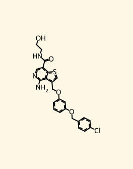 Nc1ncc(C(=O)NCCO)c2scc(COc3cccc(OCc4ccc(Cl)cc4)c3)c12